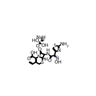 C=CC1=C(C(=O)O)N2C(=O)[C@@H](NC(=O)/C(=N\O)c3csc(N)n3)[C@H]2SC1.O=S(=O)(O)O.[NaH]